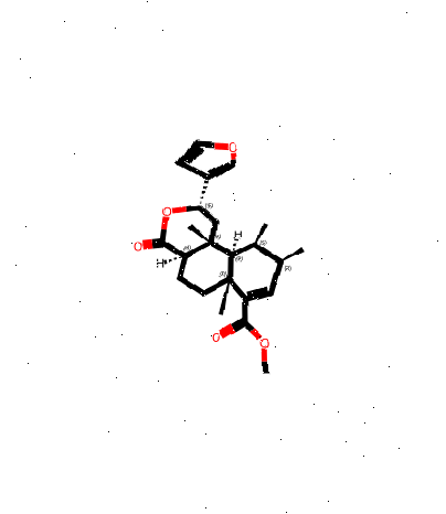 COC(=O)C1=C[C@H](C)[C@H](C)[C@@H]2[C@@]3(C)C[C@@H](c4ccoc4)OC(=O)[C@@H]3CC[C@@]12C